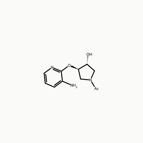 CC(=O)N1C[C@@H](O)[C@H](Oc2ncccc2N)C1